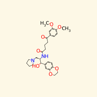 COc1ccc(C(=O)CCCC(=O)N[C@H](CN2CCCC2)[C@H](O)c2ccc3c(c2)OCCO3)cc1OC